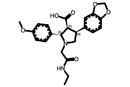 CCNC(=O)CN1C[C@H](c2ccc3c(c2)OCO3)[C@H](C(=O)O)[C@H]1c1ccc(OC)cc1